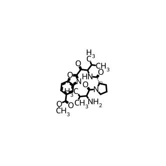 COC(=O)c1ccc2oc(C(=O)C(NC(=O)[C@@H]3CCCN3C(=O)C(N)C(C)C)C(C)C)nc2c1